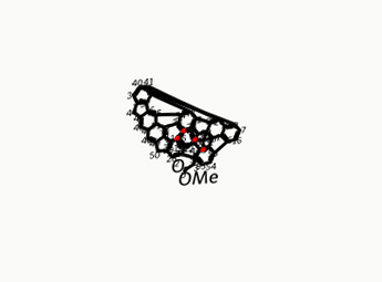 COC(=O)CCCC1(c2ccccc2)C23c4c5ccc6c4-c4c7c8c9c%10c%11c%12c(cc%13c%11c%11c%14c%10c%10c%15c%16c%17c(cc-6c4c%17c8%10)CC%16=CC(C=C%11C%13)C%14%15)-c4ccc-5c2c4C%12C9C713